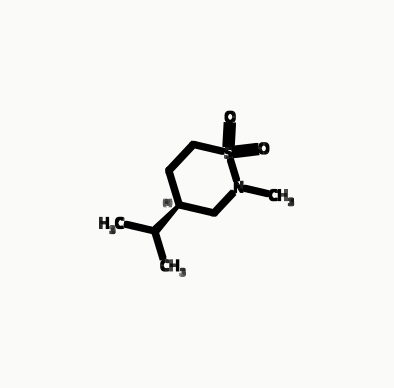 CC(C)[C@H]1CCS(=O)(=O)N(C)C1